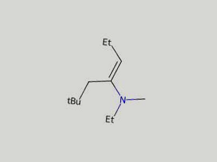 CC/C=C(\CC(C)(C)C)N(C)CC